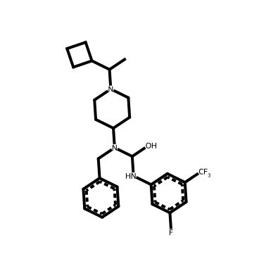 CC(C1CCC1)N1CCC(N(Cc2ccccc2)C(O)Nc2cc(F)cc(C(F)(F)F)c2)CC1